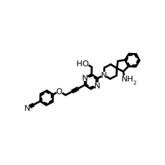 N#Cc1ccc(OCC#Cc2cnc(N3CCC4(CC3)Cc3ccccc3C4N)c(CO)n2)cc1